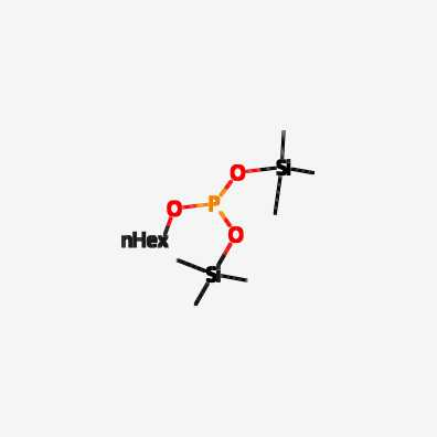 CCCCCCOP(O[Si](C)(C)C)O[Si](C)(C)C